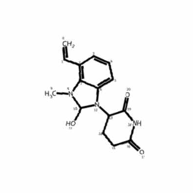 C=Cc1cccc2c1N(C)C(O)N2C1CCC(=O)NC1=O